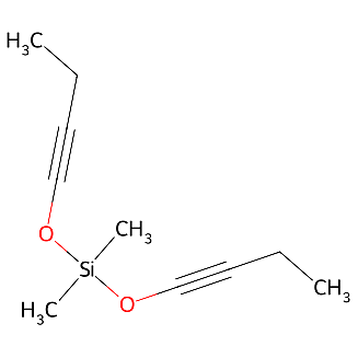 CCC#CO[Si](C)(C)OC#CCC